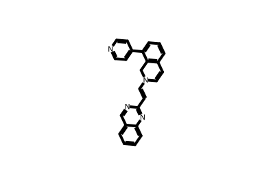 C1=CN(/C=C/c2ncc3ccccc3n2)Cc2c1cccc2-c1ccncc1